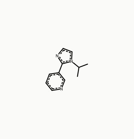 CC(C)n1ccnc1-c1cccnc1